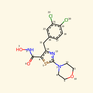 O=C(NO)c1sc(N2CCOCC2)nc1Cc1ccc(Cl)c(Cl)c1